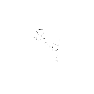 COC(=O)c1cccc(C)c1S(=O)(=O)NCNc1nc(OCC(F)(F)F)nc([As](C)C)n1